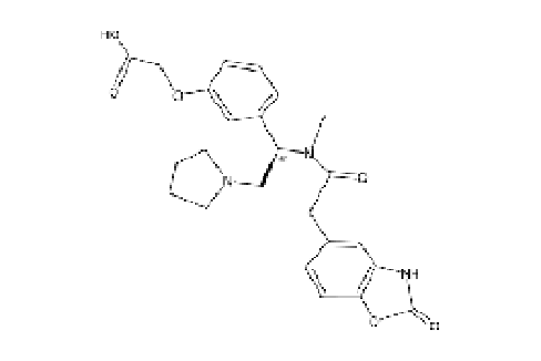 CN(C(=O)Cc1ccc2oc(=O)[nH]c2c1)[C@@H](CN1CCCC1)c1cccc(OCC(=O)O)c1